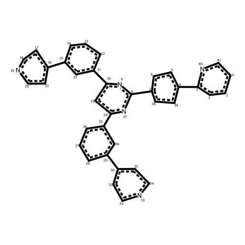 c1ccc(-c2ccc(-c3nc(-c4cccc(-c5ccncc5)c4)cc(-c4cccc(-c5ccncc5)c4)n3)cc2)nc1